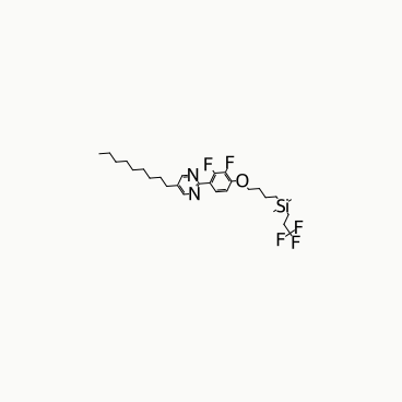 CCCCCCCCCc1cnc(-c2ccc(OCCCC[Si](C)(C)CCC(F)(F)F)c(F)c2F)nc1